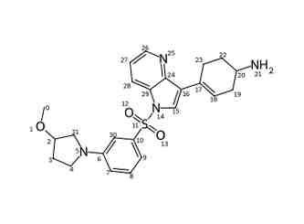 COC1CCN(c2cccc(S(=O)(=O)n3cc(C4=CCC(N)CC4)c4ncccc43)c2)C1